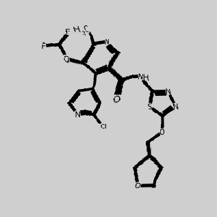 Cc1ncc(C(=O)Nc2nnc(OCC3CCOC3)s2)c(-c2ccnc(Cl)c2)c1OC(F)F